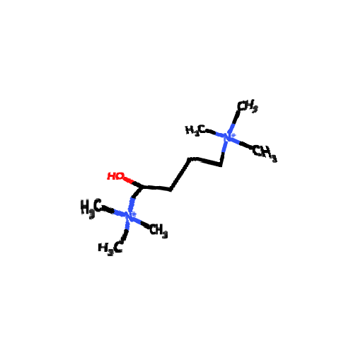 C[N+](C)(C)CCCC(O)[N+](C)(C)C